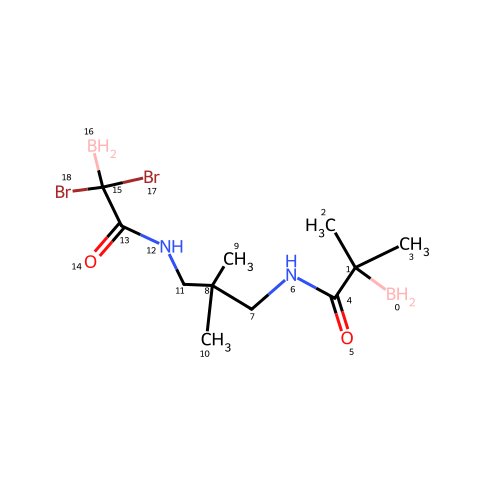 BC(C)(C)C(=O)NCC(C)(C)CNC(=O)C(B)(Br)Br